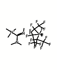 CN=C(N(C)C)[N+](C)(C)C.FC(F)(F)C(F)(F)[P-](F)(F)(F)(C(F)(F)C(F)(F)F)C(F)(F)C(F)(F)F